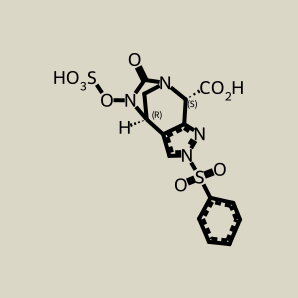 O=C(O)[C@@H]1c2nn(S(=O)(=O)c3ccccc3)cc2[C@@H]2CN1C(=O)N2OS(=O)(=O)O